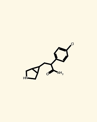 NC(=O)C(CC1C2CNCC21)c1ccc(Cl)cc1